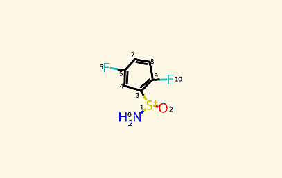 N[S+]([O-])c1cc(F)ccc1F